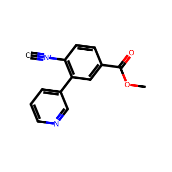 [C-]#[N+]c1ccc(C(=O)OC)cc1-c1cccnc1